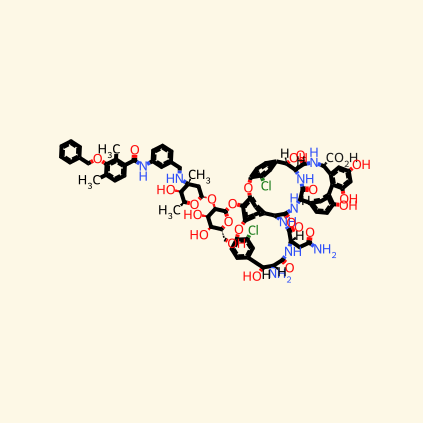 Cc1ccc(C(=O)Nc2cccc(CN[C@@]3(C)C[C@H](O[C@H]4C(Oc5c6cc7cc5Oc5ccc(cc5Cl)[C@@H](O)[C@@H](N)C(=O)N[C@@H](CC(N)=O)C(=O)NC7C(=O)N[C@H]5C(=O)N[C@H](C(=O)N[C@@H](C(=O)O)c7cc(O)cc(O)c7-c7cc5ccc7O)[C@H](O)c5ccc(c(Cl)c5)O6)O[C@H](CO)[C@@H](O)[C@H]4O)O[C@@H](C)[C@H]3O)c2)c(C)c1OCc1ccccc1